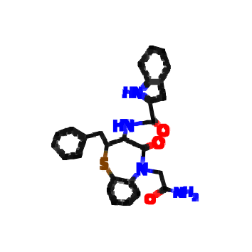 NC(=O)CN1C(=O)C(NC(=O)c2cc3ccccc3[nH]2)C(Cc2ccccc2)Sc2ccccc21